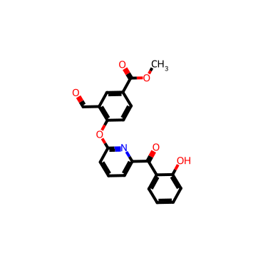 COC(=O)c1ccc(Oc2cccc(C(=O)c3ccccc3O)n2)c(C=O)c1